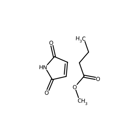 CCCC(=O)OC.O=C1C=CC(=O)N1